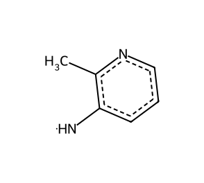 Cc1ncccc1[NH]